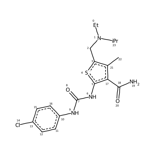 CCN(Cc1sc(NC(=O)Nc2ccc(Cl)cc2)c(C(N)=O)c1C)C(C)C